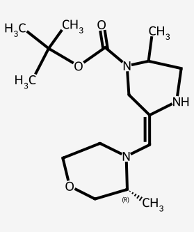 CC1CNC(=CN2CCOC[C@H]2C)CN1C(=O)OC(C)(C)C